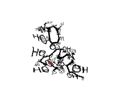 CC[C@@H](O)[C@@](C)(O)[C@H](O[Si](C)(C)C(C)(C)C)[C@@H](C)N(C)C[C@H](C)C[C@@](C)(O)[C@H](OC1CC[C@H](C)C[C@H](N(C)C)[C@H]1O)[C@@H](C)[C@H](O)[C@@H](C)C(=O)O